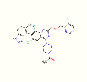 CC(=O)N1CCN(c2nc(COCc3ncccc3F)nc3c(F)c(-c4c(C)ccc5[nH]ncc45)c(Cl)cc23)CC1